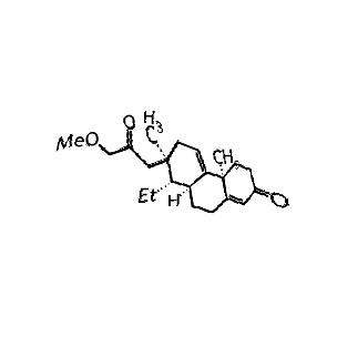 CC[C@H]1[C@@H]2CCC3=CC(=O)CC[C@]3(C)C2=CC[C@]1(C)CC(=O)COC